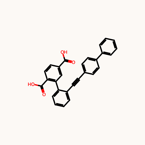 O=C(O)c1ccc(C(=O)O)c(-c2ccccc2C#Cc2ccc(-c3ccccc3)cc2)c1